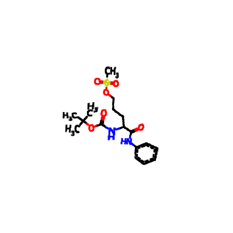 CC(C)(C)OC(=O)NC(CCCOS(C)(=O)=O)C(=O)Nc1ccccc1